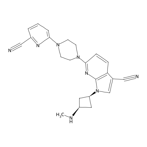 CN[C@H]1C[C@@H](n2cc(C#N)c3ccc(N4CCN(c5cccc(C#N)n5)CC4)nc32)C1